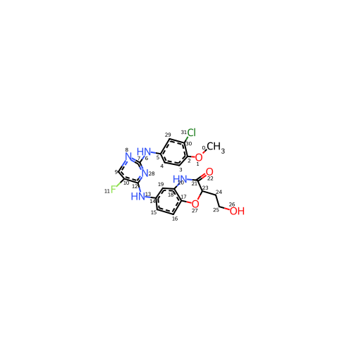 COc1ccc(Nc2ncc(F)c(Nc3ccc4c(c3)NC(=O)C(CCO)O4)n2)cc1Cl